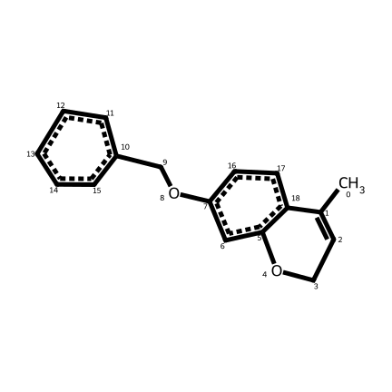 CC1=CCOc2cc(OCc3ccccc3)ccc21